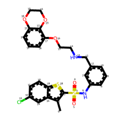 Cc1c(S(=O)(=O)Nc2cccc(CNCCOc3cccc4c3OCCO4)c2)sc2ccc(Cl)cc12